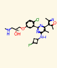 CNC[C@@H](O)COc1ccc(Cl)c(-c2nc(NC3CC(F)C3)c(C)c(-c3c(C)noc3C)n2)c1